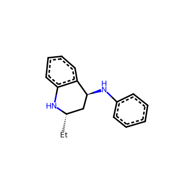 CC[C@H]1C[C@H](Nc2ccccc2)c2ccccc2N1